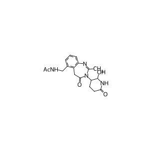 CC(=O)NCc1cccc2c1CC(=O)N(C1CCC(=O)NC1O)C(C)=N2